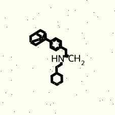 C=C(Cc1ccc(C2C3CC4CC(C3)CC2C4)cc1)NCCC1CCCCC1